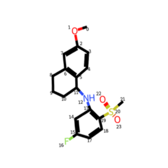 COc1ccc2c(c1)CCCC2Nc1cc(F)ccc1S(C)(=O)=O